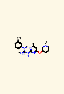 CCN1CCCC(Oc2cc(C)nc(N/C(=N/C)N(C)c3cccc(C#N)c3)n2)C1